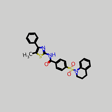 Cc1sc(NC(=O)c2ccc(S(=O)(=O)N3CCCc4ccccc43)cc2)nc1-c1ccccc1